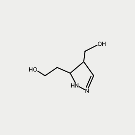 OCCC1NN=CC1CO